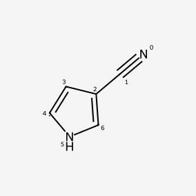 N#Cc1c[c][nH]c1